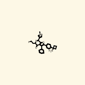 Cn1cc(C2=NC(CCF)C(=O)c3c2oc(-c2ccc(C4(N)CCC4)cc2)c3-c2ccccc2)cn1